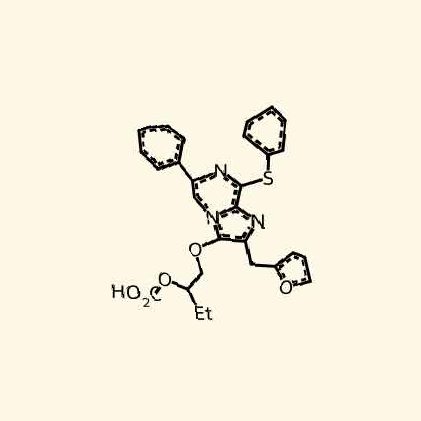 CCC(COc1c(Cc2ccco2)nc2c(Sc3ccccc3)nc(-c3ccccc3)cn12)OC(=O)O